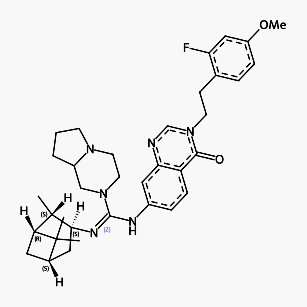 COc1ccc(CCn2cnc3cc(N/C(=N/[C@H]4C[C@@H]5C[C@H]([C@@H]4C)C5(C)C)N4CCN5CCCC5C4)ccc3c2=O)c(F)c1